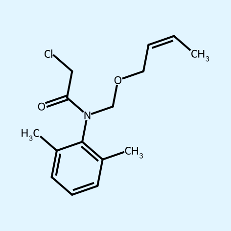 C/C=C\COCN(C(=O)CCl)c1c(C)cccc1C